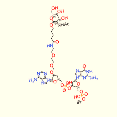 CC(=O)N[C@H]1[C@H](OCCCCC(=O)NCCOCCOCO[C@@H]2C[C@@H](COP(=O)(O)O[C@H]3C[C@H](n4cnc5c(=O)[nH]c(N)nc54)O[C@@H]3COP(=O)(O)OC(C)C)O[C@H]2n2cnc3c(N)ncnc32)O[C@H](CO)[C@H](O)[C@@H]1O